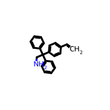 C=Cc1ccc(C(CN)(c2ccccc2)c2ccccc2)cc1